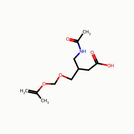 C=C(C)OCOCC(CNC(C)=O)CC(=O)O